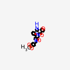 CS(=O)(=O)c1ccc(CN2CCC3(CCN(C(C(=O)C4CCOCC4)[C@@H]4CNC[C@@H]4c4ccccc4)CC3)C2=O)cc1